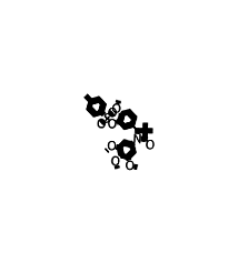 COc1ccc([C@@H]2N(c3cc(OC)c(OC)c(OC)c3)C(=O)C2(C)C)cc1OS(=O)(=O)c1ccc(C)cc1